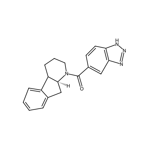 O=C(c1ccc2[nH]nnc2c1)N1CCCC2c3ccccc3C[C@@H]21